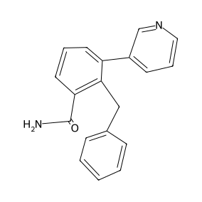 NC(=O)c1cccc(-c2cccnc2)c1Cc1ccccc1